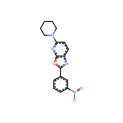 O=[N+]([O-])c1cccc(-c2nc3ccc(N4CCCCC4)nc3o2)c1